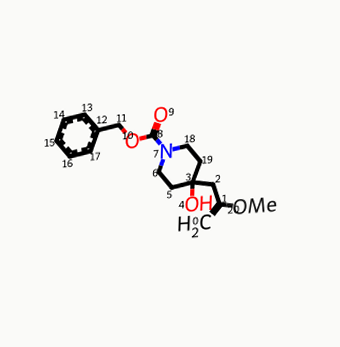 C=C(CC1(O)CCN(C(=O)OCc2ccccc2)CC1)OC